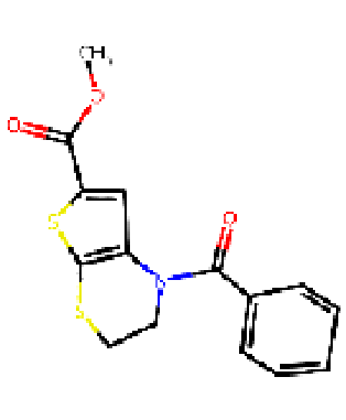 COC(=O)c1cc2c(s1)SCCN2C(=O)c1ccccc1